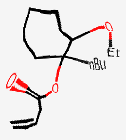 C=CC(=O)OC1(CCCC)CCCCC1OCC